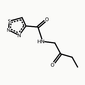 CCC(=O)CNC(=O)c1csnn1